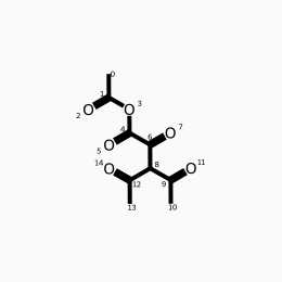 CC(=O)OC(=O)C(=O)C(C(C)=O)C(C)=O